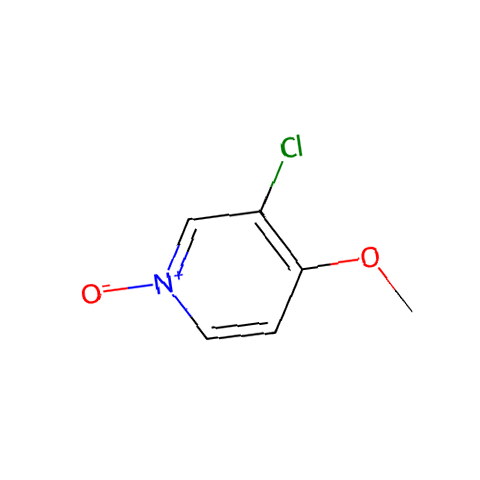 COc1cc[n+]([O-])cc1Cl